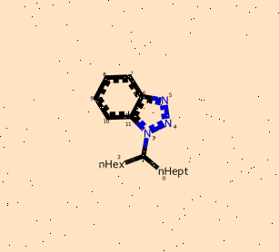 CCCCCCCC(CCCCCC)n1nnc2ccccc21